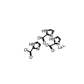 O=C([O-])c1ncc[nH]1.O=C([O-])c1ncc[nH]1.O=C([O-])c1ncc[nH]1.[La+3]